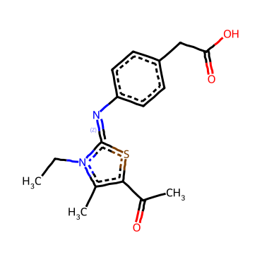 CCn1c(C)c(C(C)=O)s/c1=N\c1ccc(CC(=O)O)cc1